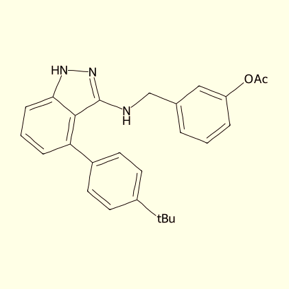 CC(=O)Oc1cccc(CNc2n[nH]c3cccc(-c4ccc(C(C)(C)C)cc4)c23)c1